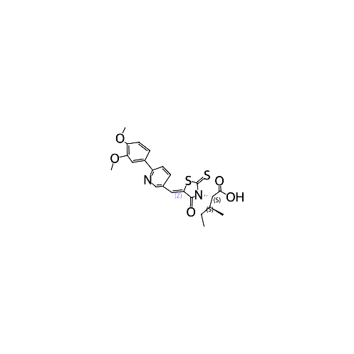 CC[C@H](C)[C@@H](C(=O)O)N1C(=O)/C(=C/c2ccc(-c3ccc(OC)c(OC)c3)nc2)SC1=S